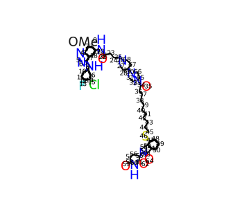 COc1cc2ncnc(Nc3ccc(F)c(Cl)c3)c2cc1NC(=O)CCCN1CCC(N2CCN(C(=O)CCCCCCCCCCSc3cccc4c3CN(C3CCC(=O)NC3=O)C4=O)CC2)CC1